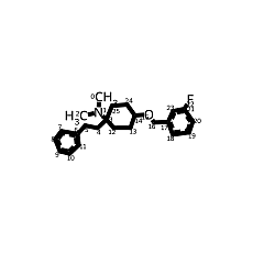 CN(C)C1(CCc2ccccc2)CCC(OCc2cccc(F)c2)CC1